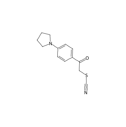 N#CSCC(=O)c1ccc(N2CCCC2)cc1